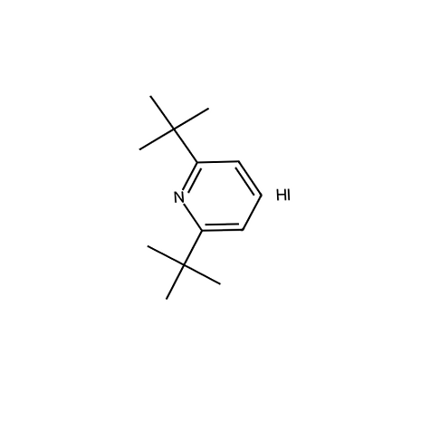 CC(C)(C)c1cccc(C(C)(C)C)n1.I